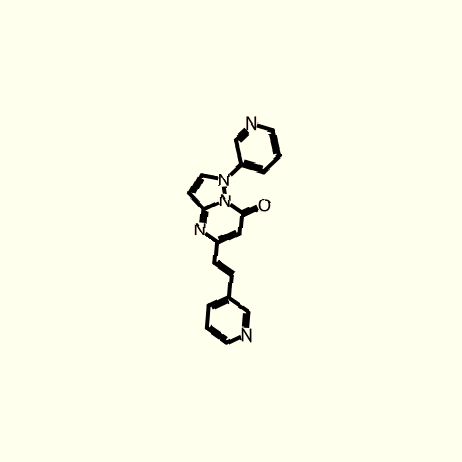 O=c1cc(/C=C/c2cccnc2)nc2ccn(-c3cccnc3)n12